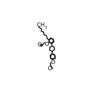 CCCCCCCCc1cccc(C2CCC(c3ccc(OCC4CO4)cc3)CC2)c1OCC1CO1